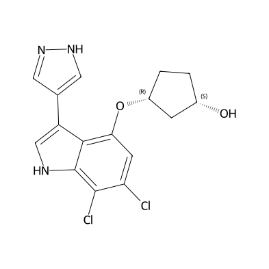 O[C@H]1CC[C@@H](Oc2cc(Cl)c(Cl)c3[nH]cc(-c4cn[nH]c4)c23)C1